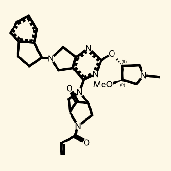 C=CC(=O)N1CC2C(=O)C1CN2c1nc(O[C@@H]2CN(C)C[C@H]2OC)nc2c1CN(C1CCc3ccccc31)C2